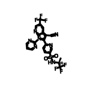 C[C@H](NS(=O)(=O)c1ccc(-c2c(C#N)c3cc(C(F)(F)F)cnc3n2-c2ncccn2)nc1)C(F)(F)F